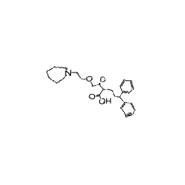 O=C(O)C(CCC(c1ccccc1)c1ccccc1)C(=O)COCCN1CCCCCC1